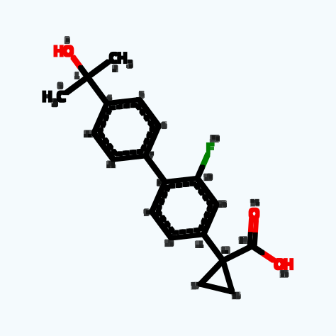 CC(C)(O)c1ccc(-c2ccc(C3(C(=O)O)CC3)cc2F)cc1